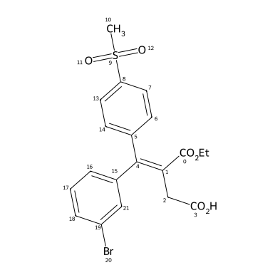 CCOC(=O)/C(CC(=O)O)=C(\c1ccc(S(C)(=O)=O)cc1)c1cccc(Br)c1